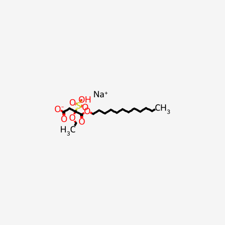 CCCCCCCCCCCCOC(=O)C(CC(=O)[O-])(OCC)S(=O)(=O)O.[Na+]